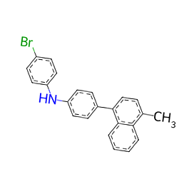 Cc1ccc(-c2ccc(Nc3ccc(Br)cc3)cc2)c2ccccc12